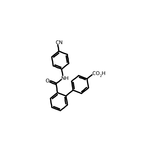 N#Cc1ccc(NC(=O)c2ccccc2-c2ccc(C(=O)O)cc2)cc1